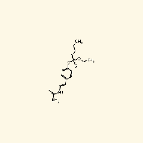 CCCSP(=S)(OCC)Oc1ccc(C=NNC(N)=S)cc1